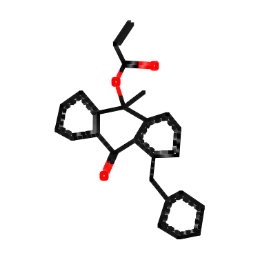 C=CC(=O)OC1(C)c2ccccc2C(=O)c2c(Cc3ccccc3)cccc21